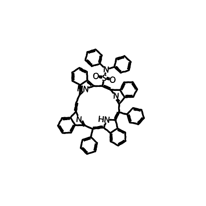 O=S(=O)(c1c2nc(c(-c3ccccc3)c3[nH]c(c(-c4ccccc4)c4nc(cc5[nH]c1c1ccccc51)-c1ccccc1-4)c1ccccc31)-c1ccccc1-2)N(c1ccccc1)c1ccccc1